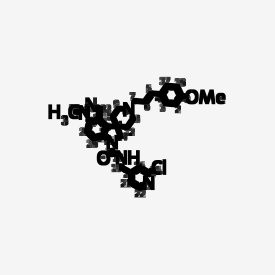 COc1ccc(/C=C/CN2CCC3(CC2)CN(C(=O)NCc2ccnc(Cl)c2)c2ccc4c(cnn4C)c23)cc1